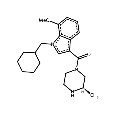 COc1cccc2c(C(=O)N3CCN[C@H](C)C3)cn(CC3CCCCC3)c12